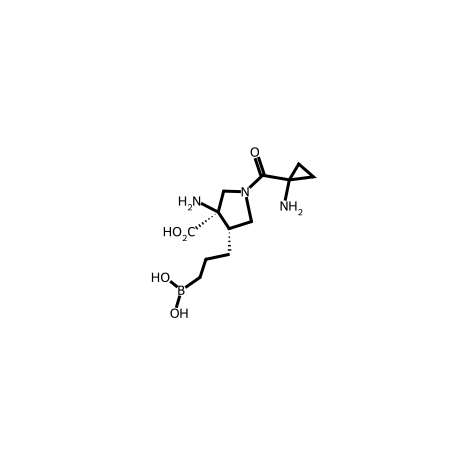 NC1(C(=O)N2C[C@H](CCCB(O)O)[C@](N)(C(=O)O)C2)CC1